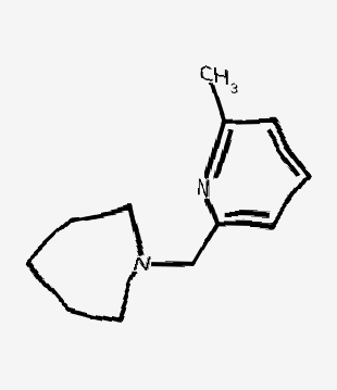 Cc1cccc(CN2CCCCC2)n1